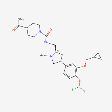 COC(=O)C1CCN(C(=O)NC[C@H]2CC(c3ccc(OC(F)F)c(OCC4CC4)c3)CN2C(C)=O)CC1